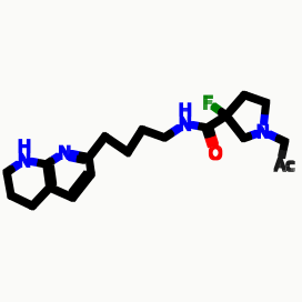 CC(=O)CN1CCC(F)(C(=O)NCCCCc2ccc3c(n2)NCCC3)C1